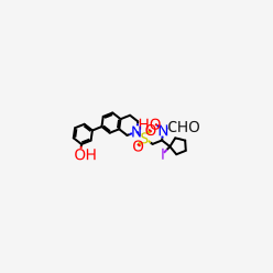 O=CN(O)C(CS(=O)(=O)N1CCc2ccc(-c3cccc(O)c3)cc2C1)C1(I)CCCC1